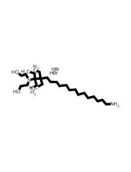 Br.Br.CCC(CC)(CCCCCCCCCCCCCCN)C(CC)(CC)N(CCO)CCO